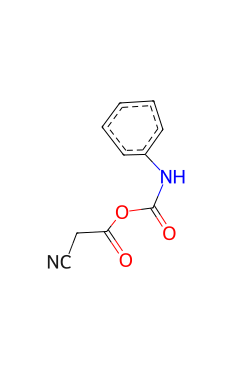 N#CCC(=O)OC(=O)Nc1ccccc1